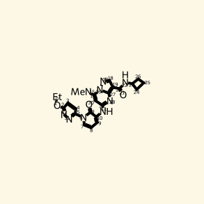 CCOc1ccc(-n2cccc(Nc3cc(NC)n4ncc(C(=O)NC5CCC5)c4n3)c2=O)nn1